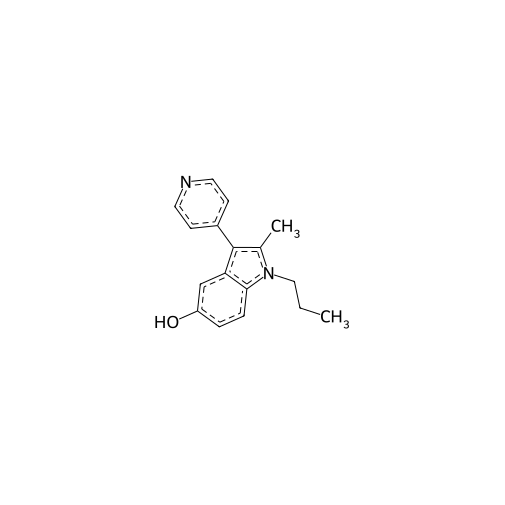 CCCn1c(C)c(-c2ccncc2)c2cc(O)ccc21